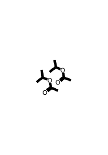 CC(=O)OC(C)C.CC(=O)OC(C)C